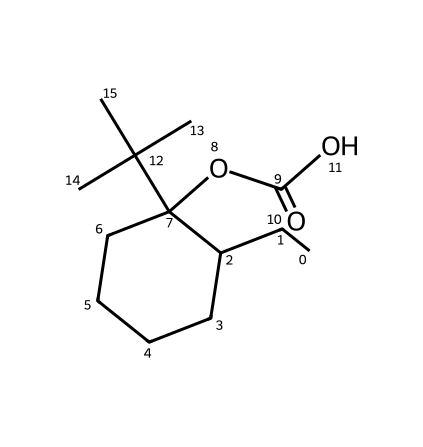 CCC1CCCCC1(OC(=O)O)C(C)(C)C